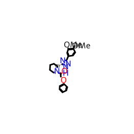 COc1ccc(-c2n[nH]c([C@H]3CCCCN3C(=O)COc3ccccc3)n2)cc1OC